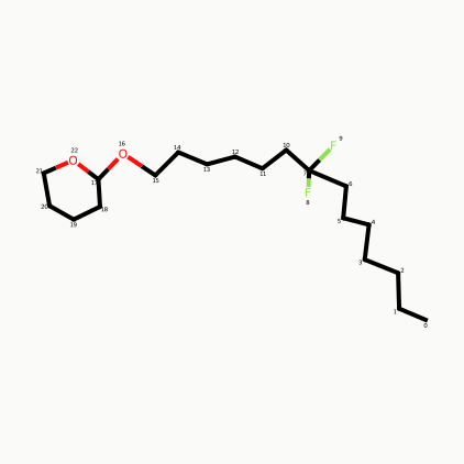 CCCCCCCC(F)(F)CCCCCCOC1CCCCO1